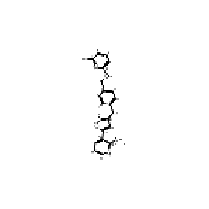 Cc1cccc(OCc2ccc(Cc3cc(-c4cccnc4N)on3)cc2)n1